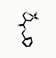 CC(C)CC(CS(=O)(=O)Cl)C(=O)OCc1ccccc1